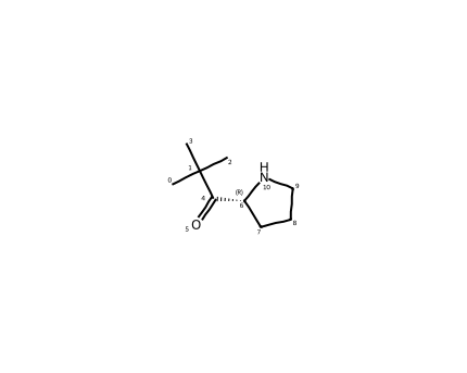 CC(C)(C)C(=O)[C@H]1CCCN1